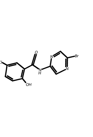 O=C(Nc1cnc(Br)cn1)c1cc(Cl)ccc1O